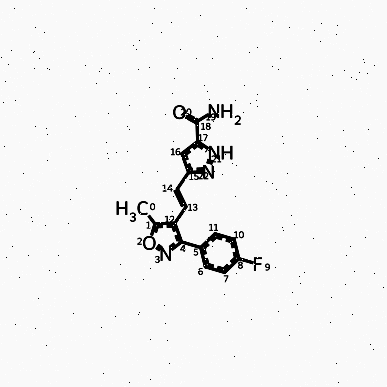 Cc1onc(-c2ccc(F)cc2)c1C=Cc1cc(C(N)=O)[nH]n1